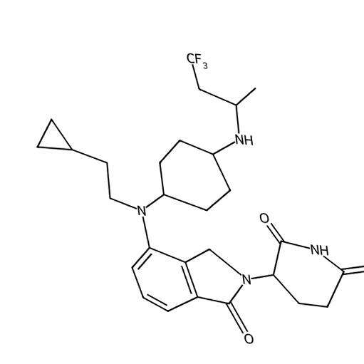 CC(CC(F)(F)F)NC1CCC(N(CCC2CC2)c2cccc3c2CN(C2CCC(=O)NC2=O)C3=O)CC1